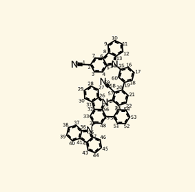 N#Cc1ccc2c(c1)c1ccccc1n2-c1cccc(-c2cccc(-n3c4ccccc4c4cc(-n5c6ccccc6c6ccccc65)cc(-c5ccccc5)c43)c2C#N)c1